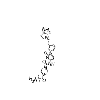 CC(C)(N)C(=O)N1CCN(C(=O)Nc2ccn(-c3cccc(CCN4CC[C@H](N)C4)c3)c(=O)n2)CC1